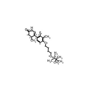 Cc1c(OCCCCO[Si](C)(C)C(C)(C)C)ccc(C2=NNC(=O)CC2C)c1F